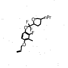 C=CCOc1ccc(OC(F)(F)C2CCC(CCC)CO2)c(F)c1C